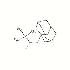 C[C@@H](CC12CC3CC(CC(C3)C1)C2)C(O)(C(F)(F)F)C(F)(F)F